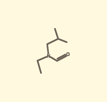 CCN(C=O)CC(C)C